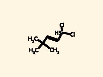 CC(C)(C)C=C[SiH](Cl)Cl